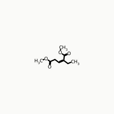 CCC(=CCC(=O)OC)C(=O)OC